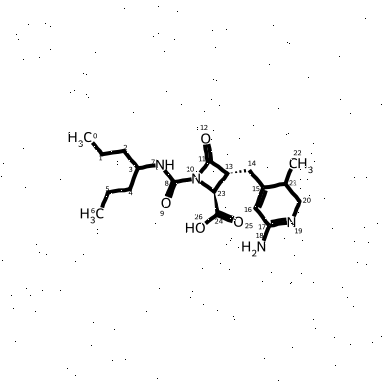 CCCC(CCC)NC(=O)N1C(=O)[C@H](CC2=CC(N)=NCC2C)[C@H]1C(=O)O